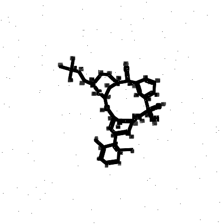 Cc1cccc(C)c1-c1cc2nc(n1)NS(=N)(=O)c1cccc(c1)C(=O)N1CCN(CCC(C)(C)C)CC(C1)O2